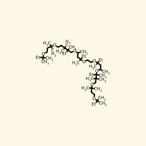 CCC(C)(C)OCCC(C)(C)OCCC(C)(C)C(C)(CC)COC(C)CC(C)(CC)OCCOC(C)(CC)CC(C)OC(C)(CC)C(C)(C)COC(C)(C)CCOC(C)(C)CC